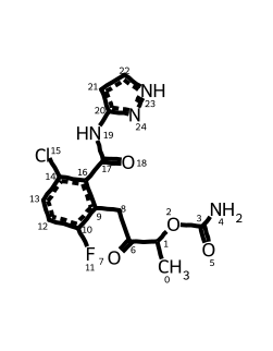 CC(OC(N)=O)C(=O)Cc1c(F)ccc(Cl)c1C(=O)Nc1cc[nH]n1